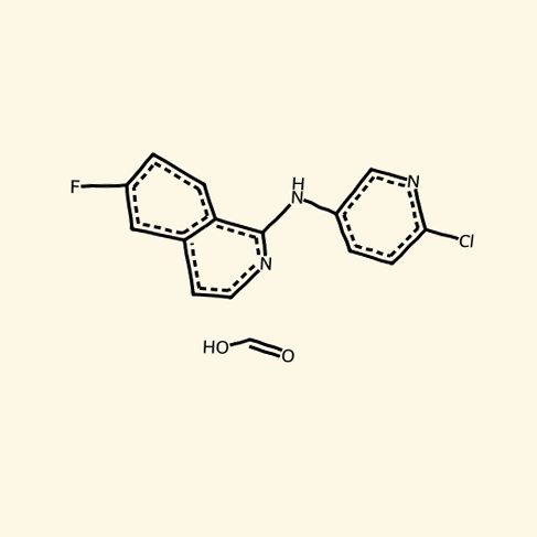 Fc1ccc2c(Nc3ccc(Cl)nc3)nccc2c1.O=CO